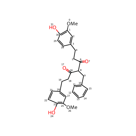 COc1cc(CCC(=O)C(Cc2ccccc2)C(=O)CCc2ccc(O)c(OC)c2)ccc1O